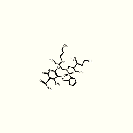 CCCCNC(CC)CN(CC(CC)C(N)CCC)S(=O)(=O)c1ccccc1/N=N/c1c(O)[nH]c(=O)c(C(N)=O)c1C